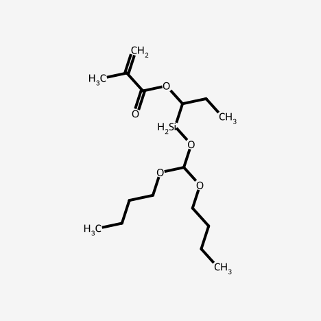 C=C(C)C(=O)OC(CC)[SiH2]OC(OCCCC)OCCCC